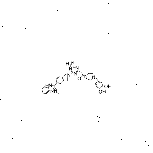 Nc1nc(CC(=O)N2CCN(Cc3ccc(O)c(O)c3)CC2)nc(NCc2ccc(C(=O)Nc3ccccc3N)cc2)n1